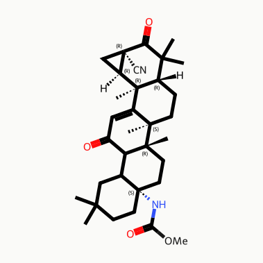 COC(=O)N[C@]12CCC(C)(C)CC1C1C(=O)C=C3[C@@]4(C)[C@H]5C[C@@]5(C#N)C(=O)C(C)(C)[C@@H]4CC[C@@]3(C)[C@]1(C)CC2